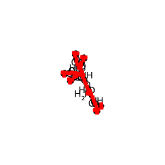 NC(CCCCNC(=O)OCC1c2ccccc2-c2ccccc21)C(=O)NCCOCCOCC(=O)NC(CCC(=O)NC(CCC(=O)OCc1ccccc1)C(=O)OCc1ccccc1)C(=O)NC(CCC(=O)OCc1ccccc1)C(=O)OCc1ccccc1